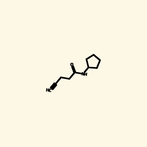 C#CCCC(=O)NC1CCCC1